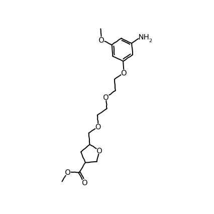 COC(=O)C1COC(COCCOCCOc2cc(N)cc(OC)c2)C1